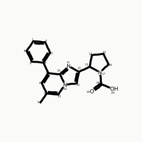 Cc1cc(-c2ccccc2)c2nc(C3CCCN3C(=O)O)cn2c1